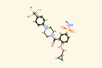 CNS(=O)(=O)c1ccc(OCC2CC2)c(C(=O)N2CCN(c3ccc(C(F)(F)F)cc3)CC2)c1